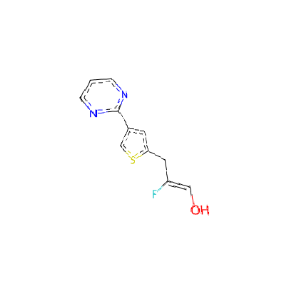 O/C=C(\F)Cc1cc(-c2ncccn2)cs1